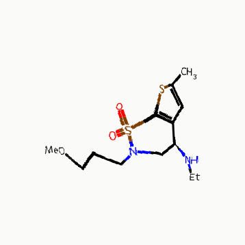 CCN[C@H]1CN(CCCOC)S(=O)(=O)c2sc(C)cc21